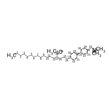 CCCCCCCCCCCCCC(CCCc1ccc(-c2ccc(CN(C)C)cc2)cc1)C(C)=O